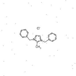 Cc1n(Cc2ccccc2)cc[n+]1Cc1ccccc1.[Cl-]